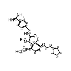 CCO[C@H](C(=O)NCc1ccc(C(=N)N)cc1)c1c(F)ccc(OCCN2CCCC2)c1F.Cl.Cl